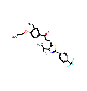 Cc1cc(C(=O)CCC2SC(c3ccc(C(F)(F)F)cc3)=NC2C(C)C)ccc1OCCO